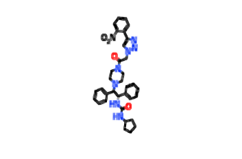 O=C(NC1CCCC1)N[C@@H](c1ccccc1)[C@@H](c1ccccc1)N1CCN(C(=O)Cn2cc(-c3ccccc3[N+](=O)[O-])nn2)CC1